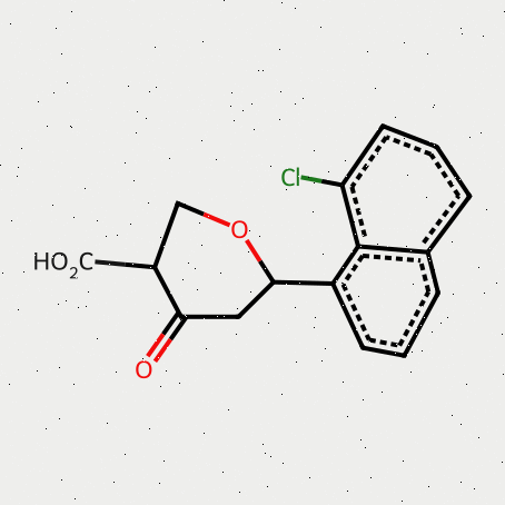 O=C(O)C1COC(c2cccc3cccc(Cl)c23)CC1=O